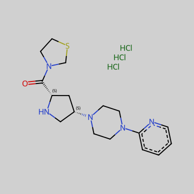 Cl.Cl.Cl.O=C([C@@H]1C[C@H](N2CCN(c3ccccn3)CC2)CN1)N1CCSC1